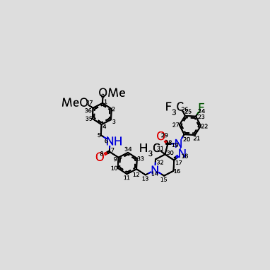 COc1ccc(CNC(=O)c2ccc(CN3CCC4=NN(c5ccc(F)c(C(F)(F)F)c5)C(=O)C4(C)C3)cc2)cc1OC